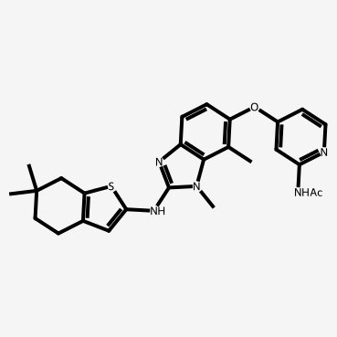 CC(=O)Nc1cc(Oc2ccc3nc(Nc4cc5c(s4)CC(C)(C)CC5)n(C)c3c2C)ccn1